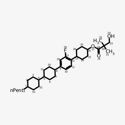 CCCCCC1CCC(C2CCC(c3ccc(C4CCC(OC(=O)C(C)(C)CO)CC4)c(F)c3)CC2)CC1